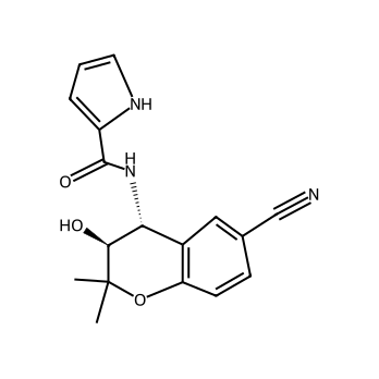 CC1(C)Oc2ccc(C#N)cc2[C@@H](NC(=O)c2ccc[nH]2)[C@@H]1O